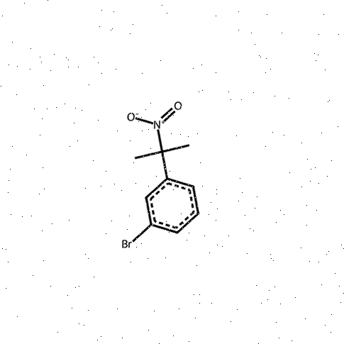 CC(C)(c1cccc(Br)c1)[N+](=O)[O-]